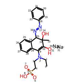 CCN(CCS(=O)(=O)O)C1=C(O)C(C)(O)C(N=Nc2ccccc2)c2ccccc21.[Na].[Na]